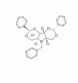 c1ccc(CN2[C@H]3CO[C@@H](c4ccccc4)O[C@H]3[C@@H]3O[C@H](c4ccccc4)OC[C@@H]32)cc1